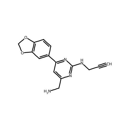 C#CCNc1nc(CN)cc(-c2ccc3c(c2)OCO3)n1